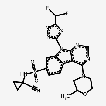 CC1CN(c2ncnc3c2c2ccc(S(=O)(=O)NC4(C#N)CC4)cc2n3-c2nnc(C(F)F)s2)CCO1